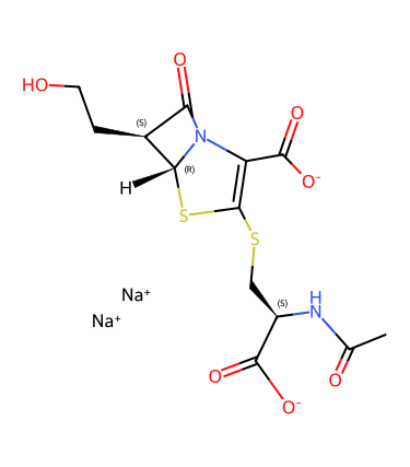 CC(=O)N[C@H](CSC1=C(C(=O)[O-])N2C(=O)[C@H](CCO)[C@H]2S1)C(=O)[O-].[Na+].[Na+]